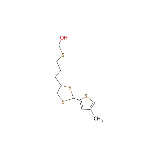 Cc1csc(C2SCC(CCCSCO)S2)c1